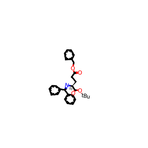 CC(C)(C)OC(=O)[C@H](CCC(=O)OCc1ccccc1)N=C(c1ccccc1)c1ccccc1